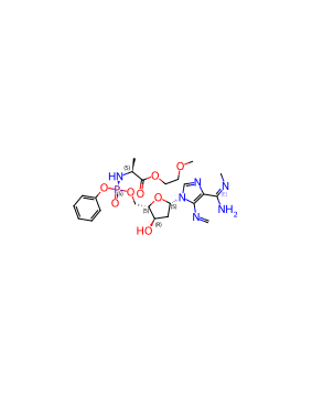 C=Nc1c(/C(N)=N\C)ncn1[C@@H]1C[C@@H](O)[C@H](CO[P@@](=O)(N[C@@H](C)C(=O)OCCOC)Oc2ccccc2)O1